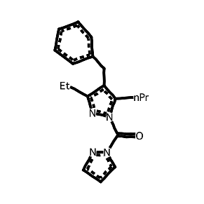 CCCc1c(Cc2ccccc2)c(CC)nn1C(=O)n1cccn1